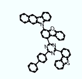 c1ccc(-c2ccc(-c3nc(-c4cccc5sc6ccccc6c45)nc(-c4ccc(-n5c6ccccc6c6cc7ccccc7cc65)c5oc6ccccc6c45)n3)cc2)cc1